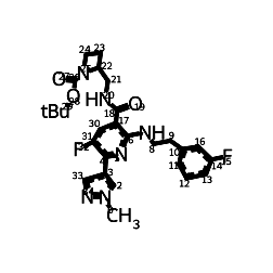 Cn1cc(-c2nc(NCCc3cccc(F)c3)c(C(=O)NCC3CCN3C(=O)OC(C)(C)C)cc2F)cn1